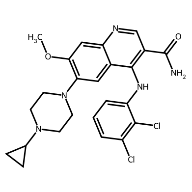 COc1cc2ncc(C(N)=O)c(Nc3cccc(Cl)c3Cl)c2cc1N1CCN(C2CC2)CC1